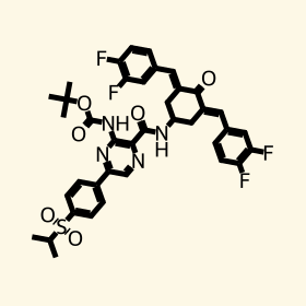 CC(C)S(=O)(=O)c1ccc(-c2cnc(C(=O)NC3C/C(=C\c4ccc(F)c(F)c4)C(=O)/C(=C/c4ccc(F)c(F)c4)C3)c(NC(=O)OC(C)(C)C)n2)cc1